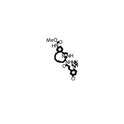 COC(=O)Nc1ccc2c(c1)CCCC=CCC(NC(=O)C=Cc1cc(Cl)ccc1-n1cnnn1)c1nc-2c[nH]1